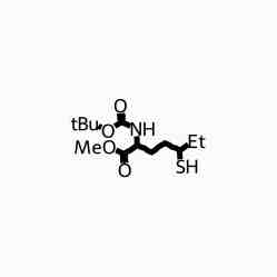 CCC(S)CCC(NC(=O)OC(C)(C)C)C(=O)OC